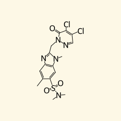 Cc1cc2nc(Cn3ncc(Cl)c(Cl)c3=O)n(C)c2cc1S(=O)(=O)N(C)C